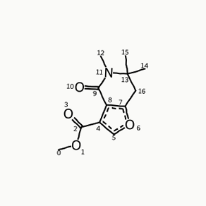 COC(=O)c1coc2c1C(=O)N(C)C(C)(C)C2